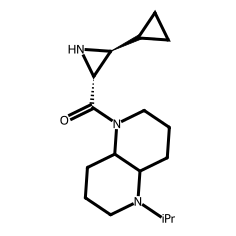 CC(C)N1CCCC2C1CCCN2C(=O)[C@@H]1N[C@H]1C1CC1